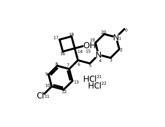 CN1CCN(CC(c2ccc(Cl)cc2)C2(O)CCC2)CC1.Cl.Cl